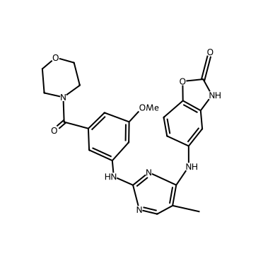 COc1cc(Nc2ncc(C)c(Nc3ccc4oc(=O)[nH]c4c3)n2)cc(C(=O)N2CCOCC2)c1